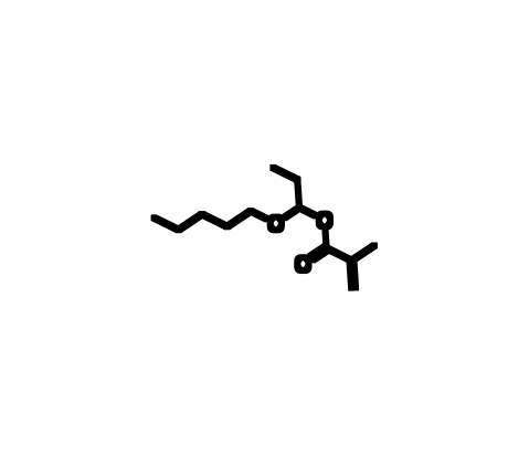 C=C(C)C(=O)OC(CC)OCCCCC